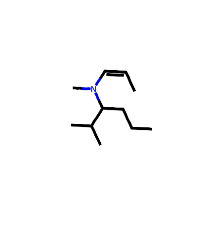 C/C=C\N(C)C(CCC)C(C)C